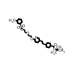 Cc1cccc(S(=O)(=O)OCCOCCOc2ccc(/C=C/c3ccc(C(=O)OC(C)(C)C)cc3)cn2)c1